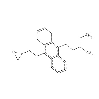 CCC(C)CCc1c2c(c(CCC3CO3)c3ccccc13)CC=CC2